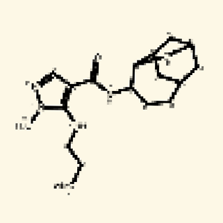 COCCNc1c(C(=O)NC2CCC3CC4CC(C3)C2C4)cnn1C